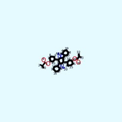 C=C(C)C(=O)Oc1cccc(-c2c3c4ccccc4n(C)c3c(-c3cccc(OC(=O)C(=C)C)c3)c3c4ccccc4n(C)c23)c1